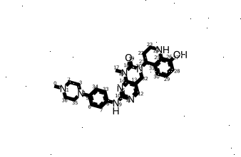 CN1CCN(c2ccc(Nc3ncc4c(n3)N(C)C(=O)N(C3CCNc5c(O)cccc53)C4)cc2)CC1